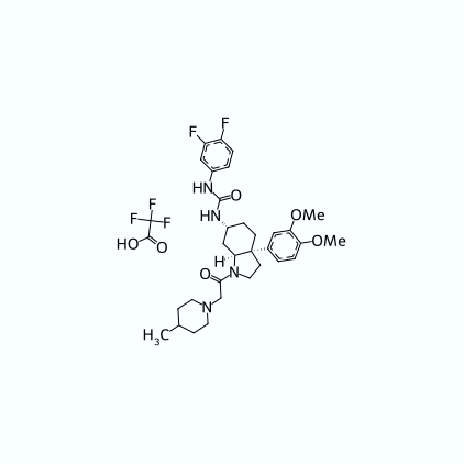 COc1ccc([C@@]23CC[C@@H](NC(=O)Nc4ccc(F)c(F)c4)C[C@@H]2N(C(=O)CN2CCC(C)CC2)CC3)cc1OC.O=C(O)C(F)(F)F